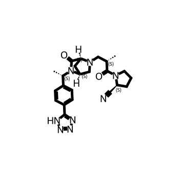 C[C@@H](CN1C[C@@H]2C[C@H]1C(=O)N2[C@@H](C)c1ccc(-c2nnn[nH]2)cc1)C(=O)N1CCC[C@H]1C#N